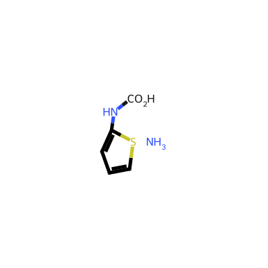 N.O=C(O)Nc1cccs1